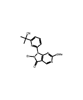 CCn1c(=O)c2cnc(SC)nc2n1-c1cccc(C(C)(C)C#N)n1